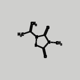 C=C(C)n1sc(=O)n(C)c1=O